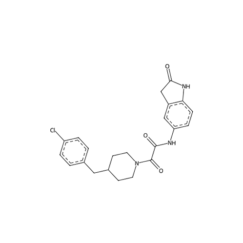 O=C1Cc2cc(NC(=O)C(=O)N3CCC(Cc4ccc(Cl)cc4)CC3)ccc2N1